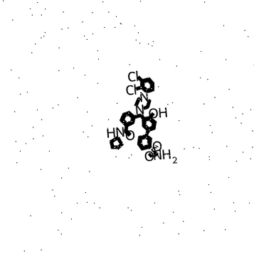 NS(=O)(=O)c1cccc(-c2ccc(O)c(C(c3cccc(C(=O)NC4CCCC4)c3)N3CCN(c4cccc(Cl)c4Cl)CC3)c2)c1